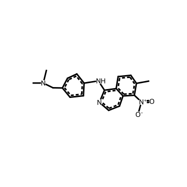 Cc1ccc2c(Nc3ccc(CN(C)C)cc3)nccc2c1[N+](=O)[O-]